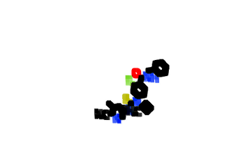 Cc1cc(N(C)C(=S)N(c2ccc(C(=O)NCc3ccccc3)c(F)c2)C2(C=O)CCC2)cnc1C#N